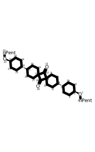 CCCCCO[C@H]1CC[C@H](C2CCC3(CC2)C(=O)C2(CCC([C@H]4CC[C@H](OCCCCC)CC4)CC2)C3=O)CC1